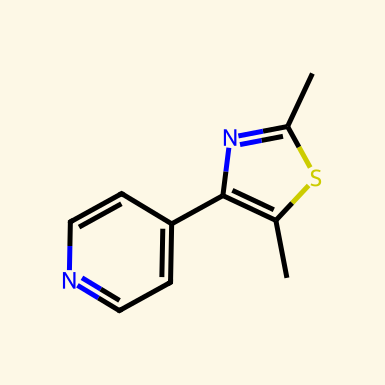 Cc1nc(-c2ccncc2)c(C)s1